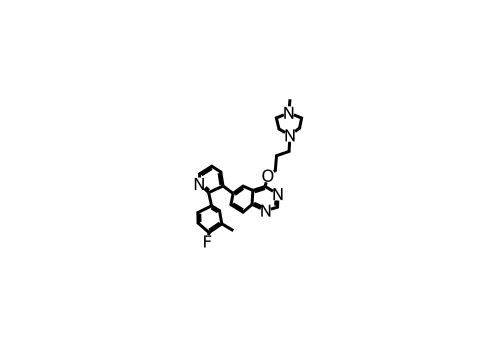 Cc1cc(-c2ncccc2-c2ccc3ncnc(OCCCN4CCN(C)CC4)c3c2)ccc1F